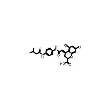 CC(C)CC(=O)Nc1ccc(NC(=O)C=C2CC(C(=O)O)Nc3cc(Cl)cc(Cl)c32)cc1